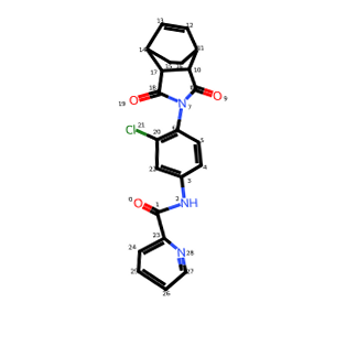 O=C(Nc1ccc(N2C(=O)C3C4C=CC(CC4)C3C2=O)c(Cl)c1)c1ccccn1